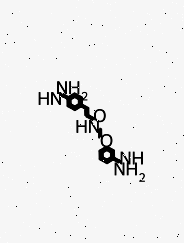 N=C(N)c1ccc(/C=C/C(=O)NCCOc2cccc(C(=N)N)c2)cc1